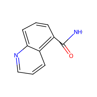 [NH]C(=O)c1cccc2ncccc12